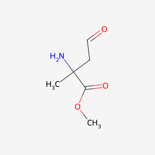 COC(=O)C(C)(N)CC=O